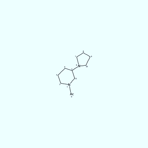 [CH2]C(=O)N1CCCC(N2CCCC2)C1